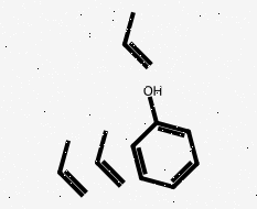 C=CC.C=CC.C=CC.Oc1ccccc1